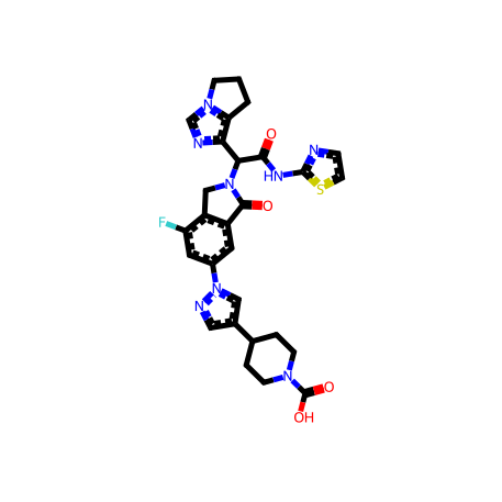 O=C(Nc1nccs1)C(c1ncn2c1CCC2)N1Cc2c(F)cc(-n3cc(C4CCN(C(=O)O)CC4)cn3)cc2C1=O